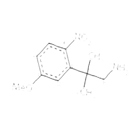 COc1ccc([N+](=O)[O-])c(C(C)(C)CN)c1